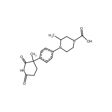 CC1CN(C(=O)O)CCN1c1ccc(C2(C)CCC(=O)NC2=O)cc1